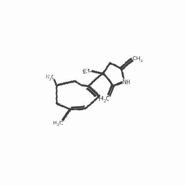 C=C1CC(CC)(C2=CC=C(C)CC(C)C2)C(=C)N1